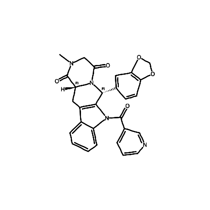 CN1CC(=O)N2[C@H](c3ccc4c(c3)OCO4)c3c(c4ccccc4n3C(=O)c3cccnc3)C[C@@H]2C1=O